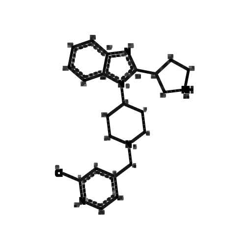 Clc1cc(CN2CCC(n3c(C4CCNC4)nc4ccccc43)CC2)ccn1